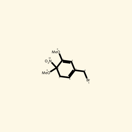 COC1=CC(CBr)=CCC1(OC)[N+](=O)[O-]